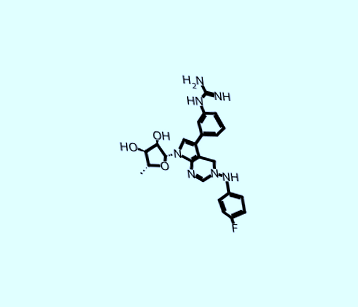 C[C@H]1O[C@@H](n2cc(-c3cccc(NC(=N)N)c3)c3c2N=CN(Nc2ccc(F)cc2)C3)[C@H](O)[C@@H]1O